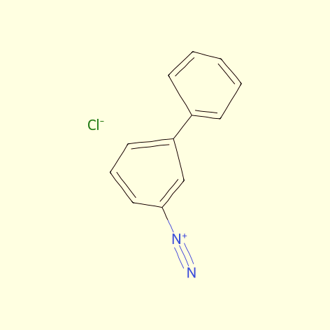 N#[N+]c1cccc(-c2ccccc2)c1.[Cl-]